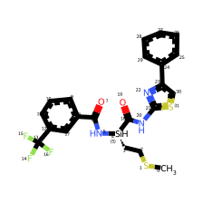 CSCC[Si@H](NC(=O)c1cccc(C(F)(F)F)c1)C(=O)Nc1nc(-c2ccccc2)cs1